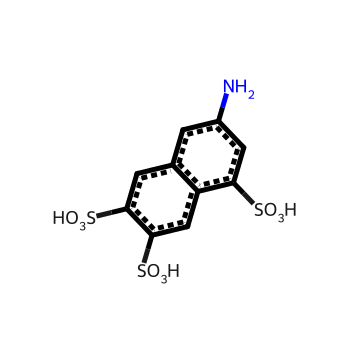 Nc1cc(S(=O)(=O)O)c2cc(S(=O)(=O)O)c(S(=O)(=O)O)cc2c1